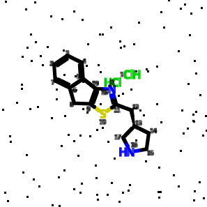 Cl.Cl.c1ccc2c(c1)Cc1sc(C[C@H]3CCNC3)nc1-2